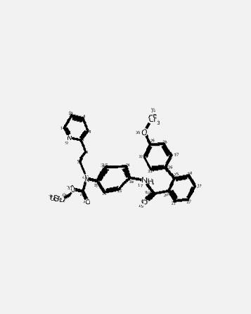 CC(C)(C)OC(=O)N(CCc1ccccn1)c1ccc(NC(=O)c2ccccc2-c2ccc(OC(F)(F)F)cc2)cc1